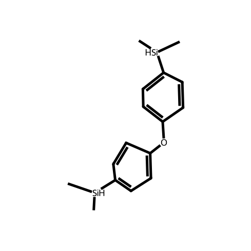 C[SiH](C)c1ccc(Oc2ccc([SiH](C)C)cc2)cc1